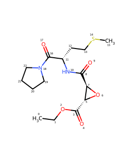 CCOC(=O)[C@H]1O[C@@H]1C(=O)N[C@@H](CCSC)C(=O)N1CCCC1